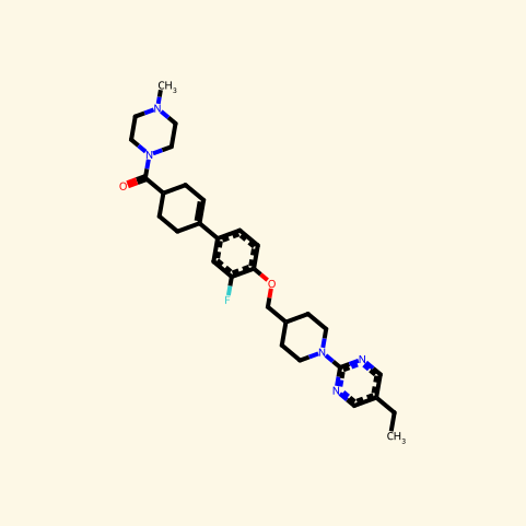 CCc1cnc(N2CCC(COc3ccc(C4=CCC(C(=O)N5CCN(C)CC5)CC4)cc3F)CC2)nc1